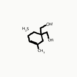 CC1=CCCC(CO)(CO)C1.S